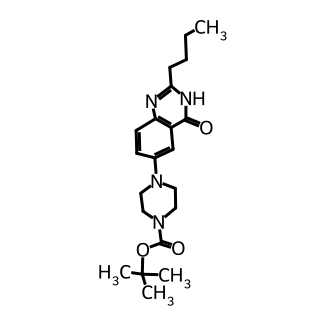 CCCCc1nc2ccc(N3CCN(C(=O)OC(C)(C)C)CC3)cc2c(=O)[nH]1